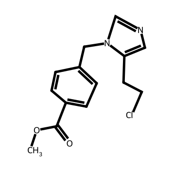 COC(=O)c1ccc(Cn2cncc2CCCl)cc1